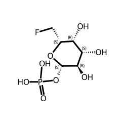 O=P(O)(O)O[C@@H]1O[C@H](CF)[C@H](O)[C@H](O)[C@H]1O